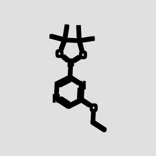 CCOc1cncc(B2OC(C)(C)C(C)(C)O2)n1